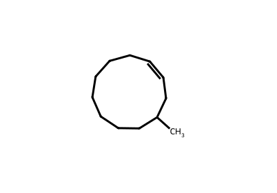 CC1CC=CCCCCCCC1